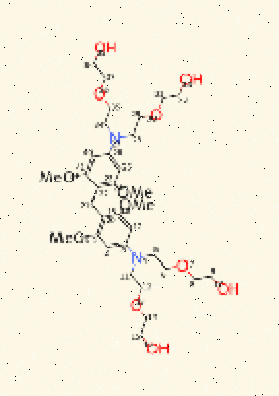 COc1cc(N(CCOCCO)CCOCCO)cc(OC)c1Cc1c(OC)cc(N(CCOCCO)CCOCCO)cc1OC